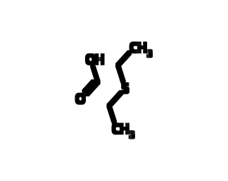 CCSCC.O=CO